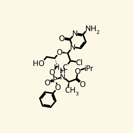 CC(C)OC(=O)[C@@H](C)NP(=O)(OC[C@H](CO)O[C@H](C(C)Cl)n1ccc(N)nc1=O)Oc1ccccc1